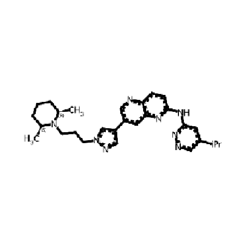 CC(C)c1cnnc(Nc2ccc3ncc(-c4cnn(CCCN5[C@H](C)CCC[C@@H]5C)c4)cc3n2)c1